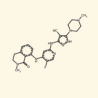 CN1CCN(c2[nH]nc(Nc3cc(Nc4cccc5c4C(=O)N(C)CC5)c(F)cn3)c2C#N)CC1